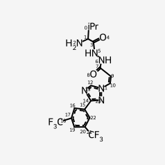 CC(C)C(N)C(=O)NNC(=O)/C=C\n1cnc(-c2cc(C(F)(F)F)cc(C(F)(F)F)c2)n1